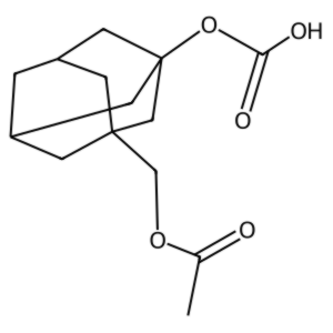 CC(=O)OCC12CC3CC(C1)CC(OC(=O)O)(C3)C2